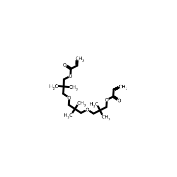 C=CC(=O)OCC(C)(C)COCC(C)(C)COCC(C)(C)COC(=O)C=C